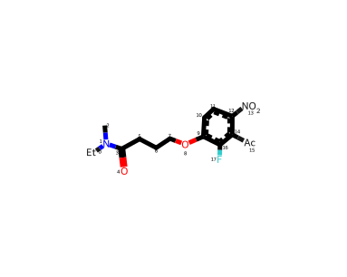 CCN(C)C(=O)CCCOc1ccc([N+](=O)[O-])c(C(C)=O)c1F